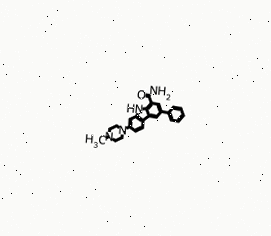 CN1CCN(c2ccc3c(c2)[nH]c2c(C(N)=O)cc(-c4ccccc4)cc23)CC1